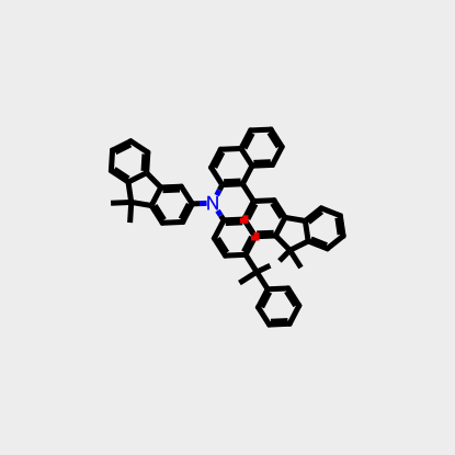 CC(C)(c1ccccc1)c1ccc(N(c2ccc3c(c2)-c2ccccc2C3(C)C)c2ccc3ccccc3c2-c2ccc3c(c2)-c2ccccc2C3(C)C)cc1